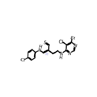 CCc1ncnc(NCC/C(C=S)=C/Nc2ccc(Cl)cc2)c1Cl